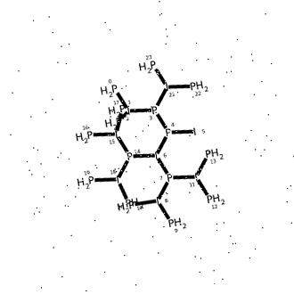 PI(P)P(P(I)I(P(I(P)P)I(P)P)P(I(P)P)I(P)P)I(P)P